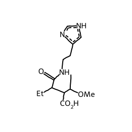 CCC(C(=O)NCCc1c[nH]cn1)C(C(=O)O)C(C)OC